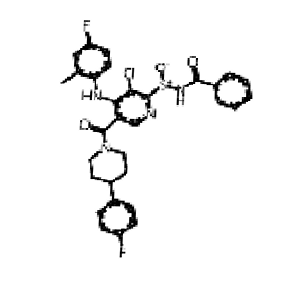 Cc1cc(F)ccc1Nc1c(C(=O)N2CCC(c3ccc(F)cc3)CC2)cnc([S+]([O-])NC(=O)c2ccccc2)c1Cl